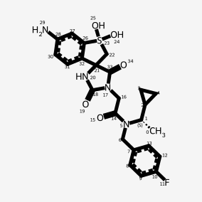 C[C@@H](C1CC1)N(Cc1ccc(F)cc1)C(=O)CN1C(=O)NC2(CS(O)(O)c3cc(N)ccc32)C1=O